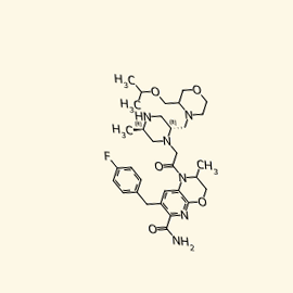 CC(C)OCC1COCCN1C[C@H]1CN[C@H](C)CN1CC(=O)N1c2cc(Cc3ccc(F)cc3)c(C(N)=O)nc2OCC1C